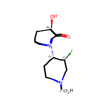 O=C(O)N1CC[C@H](N2CC[C@@H](O)C2=O)[C@@H](F)C1